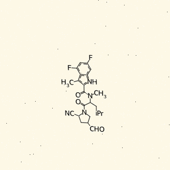 Cc1c(C(=O)N(C)C(CC(C)C)C(=O)N2CC(C=O)CC2C#N)[nH]c2cc(F)cc(F)c12